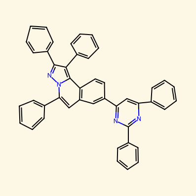 c1ccc(-c2cc(-c3ccc4c(c3)cc(-c3ccccc3)n3nc(-c5ccccc5)c(-c5ccccc5)c43)nc(-c3ccccc3)n2)cc1